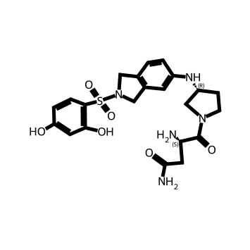 NC(=O)C[C@H](N)C(=O)N1CC[C@@H](Nc2ccc3c(c2)CN(S(=O)(=O)c2ccc(O)cc2O)C3)C1